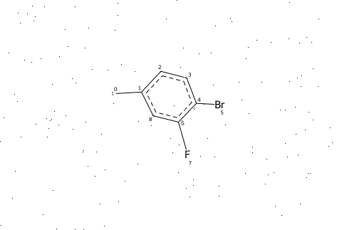 [CH]c1ccc(Br)c(F)c1